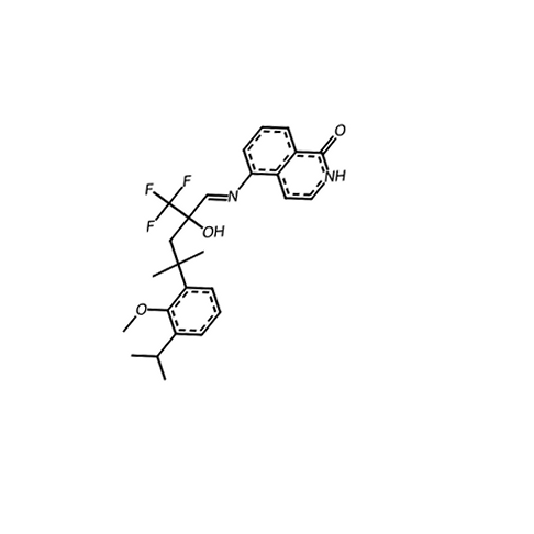 COc1c(C(C)C)cccc1C(C)(C)CC(O)(C=Nc1cccc2c(=O)[nH]ccc12)C(F)(F)F